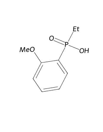 CCP(=O)(O)c1ccccc1OC